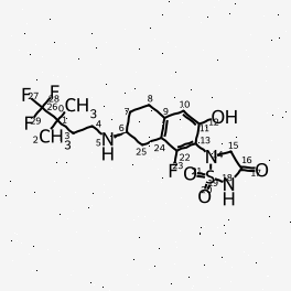 CC(C)(CCN[C@H]1CCc2cc(O)c(N3CC(=O)NS3(=O)=O)c(F)c2C1)C(F)(F)F